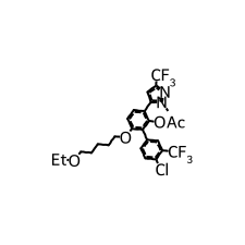 CCOCCCCCOc1ccc(-c2cc(C(F)(F)F)nn2C)c(OC(C)=O)c1-c1ccc(Cl)c(C(F)(F)F)c1